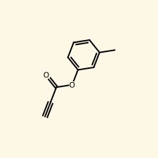 C#CC(=O)Oc1cccc(C)c1